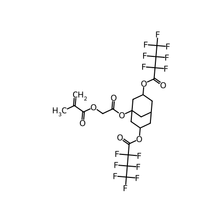 C=C(C)C(=O)OCC(=O)OC12CC(CC(OC(=O)C(F)(F)C(F)(F)C(F)(F)F)C1)CC(OC(=O)C(F)(F)C(F)(F)C(F)(F)F)C2